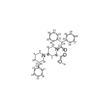 COC(=O)[C@@H]1C[C@H](N2CCC[C@H](c3ccccc3)C2)CCN1C(=O)C(c1ccccc1)c1ccccc1